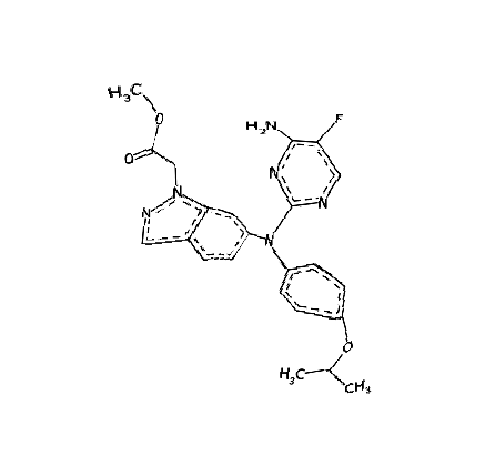 COC(=O)Cn1ncc2ccc(N(c3ccc(OC(C)C)cc3)c3ncc(F)c(N)n3)cc21